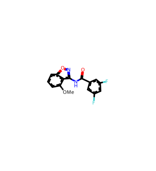 COc1cccc2onc(NC(=O)c3cc(F)cc(F)c3)c12